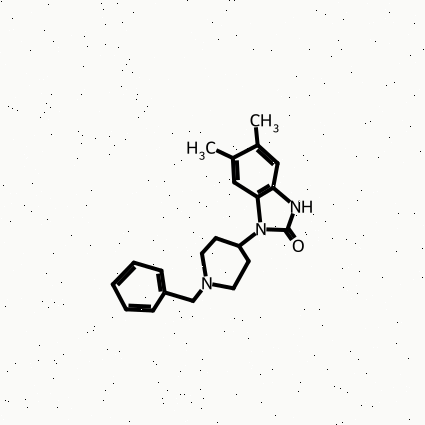 Cc1cc2[nH]c(=O)n(C3CCN(Cc4ccccc4)CC3)c2cc1C